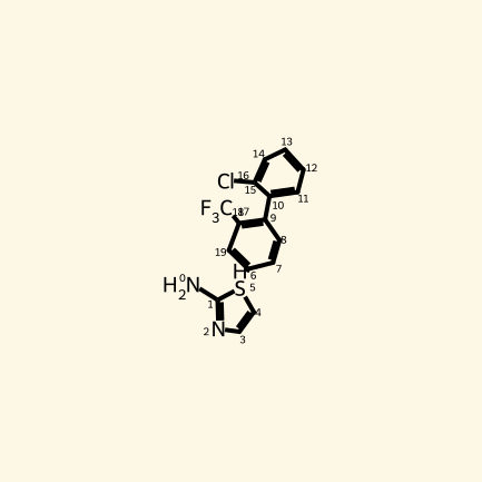 NC1=NC=C[SH]1c1ccc(-c2ccccc2Cl)c(C(F)(F)F)c1